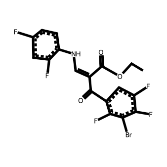 CCOC(=O)C(=CNc1ccc(F)cc1F)C(=O)c1cc(F)c(F)c(Br)c1F